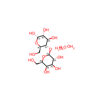 O.O.O.OC[C@H]1O[C@@H](O[C@H]2[C@H](O)[C@@H](O)[C@@H](O)O[C@@H]2CO)[C@H](O)[C@@H](O)[C@H]1O